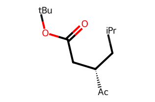 CC(=O)[C@H](CC(=O)OC(C)(C)C)CC(C)C